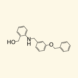 OCc1ccccc1NCc1cccc(OCc2ccccc2)c1